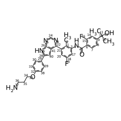 Cc1c(NC(=O)c2ccc(C(C)(C)O)cc2F)cc(F)cc1-c1ncnc2[nH]c(-c3ccc(OCCCN)cc3)cc12